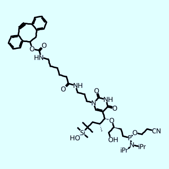 CC(C)N(C(C)C)P(CC[C@@H](CO)O[C@@H](c1cn(CCCNC(=O)CCCCCNC(=O)OC2Cc3ccccc3C#Cc3ccccc32)c(=O)[nH]c1=O)[C@H](C)CC(C)(C)[Si](C)(C)O)OCCC#N